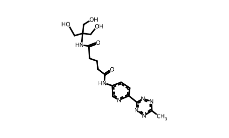 Cc1nnc(-c2ccc(NC(=O)CCCC(=O)NC(CO)(CO)CO)cn2)nn1